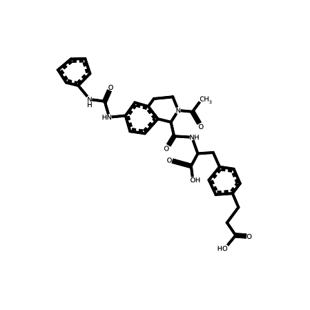 CC(=O)N1CCc2cc(NC(=O)Nc3ccccc3)ccc2C1C(=O)NC(Cc1ccc(CCC(=O)O)cc1)C(=O)O